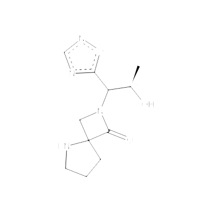 C[C@@H](O)C(c1ncno1)N1CC2(CCCN2)C1=O